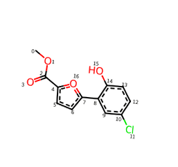 COC(=O)c1ccc(-c2cc(Cl)ccc2O)o1